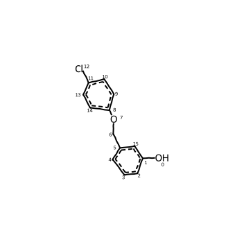 Oc1cccc(COc2ccc(Cl)cc2)c1